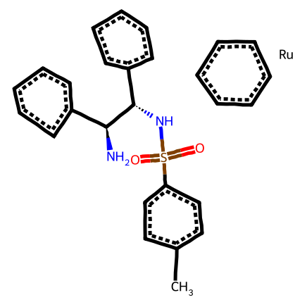 Cc1ccc(S(=O)(=O)N[C@@H](c2ccccc2)[C@@H](N)c2ccccc2)cc1.[Ru].c1ccccc1